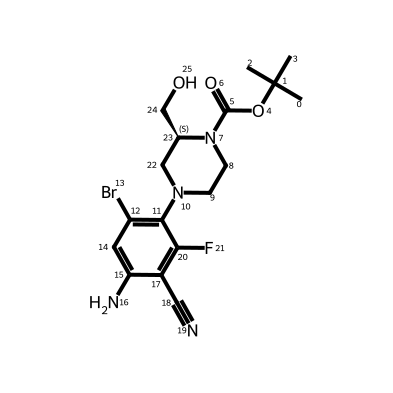 CC(C)(C)OC(=O)N1CCN(c2c(Br)cc(N)c(C#N)c2F)C[C@H]1CO